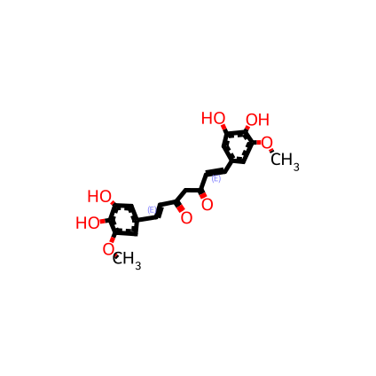 COc1cc(/C=C/C(=O)CC(=O)/C=C/c2cc(O)c(O)c(OC)c2)cc(O)c1O